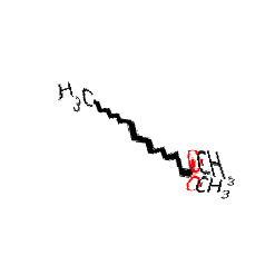 CCCCC=CC=CCCCCCCCC(OC)OC